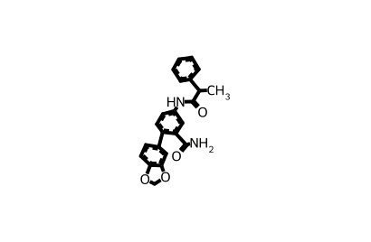 CC(C(=O)Nc1ccc(-c2ccc3c(c2)OCO3)c(C(N)=O)c1)c1ccccc1